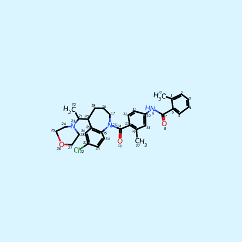 Cc1ccccc1C(=O)Nc1ccc(C(=O)N2CCCC(C(C)N3CCOCC3)c3cc(Cl)ccc32)c(C)c1